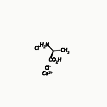 C[C@H](N)C(=O)O.[Ca+2].[Cl-].[Cl-]